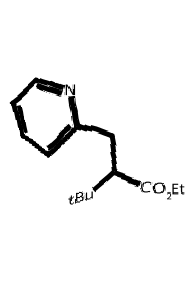 CCOC(=O)C(Cc1ccccn1)C(C)(C)C